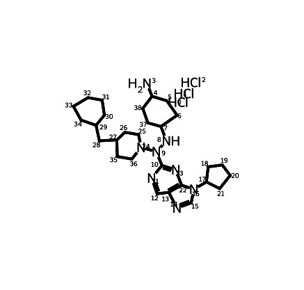 Cl.Cl.Cl.NC1CCC(NN(c2ncc3ncn(C4CCCC4)c3n2)N2CCC(CC3CCCCC3)CC2)CC1